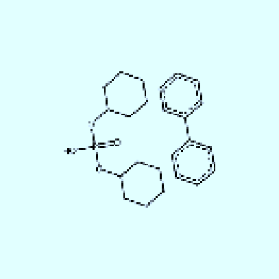 O=P(O)(OC1CCCCC1)OC1CCCCC1.c1ccc(-c2ccccc2)cc1